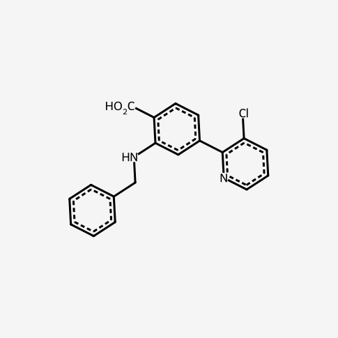 O=C(O)c1ccc(-c2ncccc2Cl)cc1NCc1ccccc1